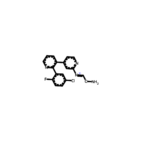 NO/C=N/c1cc(-c2cccnc2-c2cc(Cl)ccc2F)ccn1